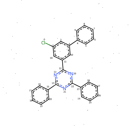 Clc1cc(-c2ccccc2)cc(-c2nc(-c3ccccc3)nc(-c3ccccc3)n2)c1